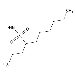 CCCCCCC(CCC)S([NH])(=O)=O